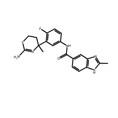 Cc1nc2cc(C(=O)Nc3ccc(F)c(C4(C)CCSC(N)=N4)c3)ccc2[nH]1